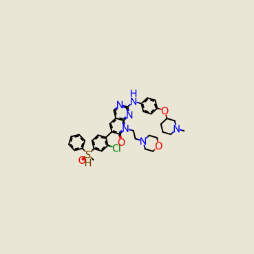 CN1CCCC(Oc2ccc(Nc3ncc4cc(-c5ccc([SH](C)(=O)c6ccccc6)cc5Cl)c(=O)n(CCN5CCOCC5)c4n3)cc2)C1